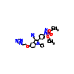 CCOP(=O)(Nc1ccc(-c2c(C#N)c3cc(OCCn4cncn4)ccc3n2C2CCC2)cc1)OCC